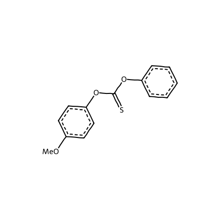 COc1ccc(OC(=S)Oc2ccccc2)cc1